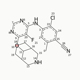 Cc1cc(Nc2ncnc(OC3C4CNCC3COC4)c2F)c(Cl)cc1C#N